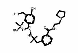 CC(C)(Cc1cccc(C(=O)NCCN2CCCC2)c1)NC[C@H](O[Si](C)(C)C(C)(C)C)c1ccc(O)c(CO)c1